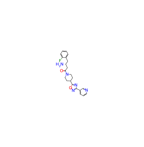 N[C@@H](CC(=O)N1CCC(c2nc(-c3cccnc3)no2)CC1)Cc1ccccc1F